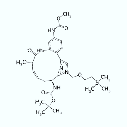 COC(=O)Nc1ccc2c(c1)NC(=O)[C@@H](C)C=CC[C@H](NC(=O)OC(C)(C)C)c1nc-2cn1COCC[Si](C)(C)C